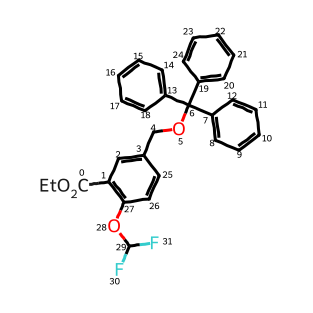 CCOC(=O)c1cc(COC(c2ccccc2)(c2ccccc2)c2ccccc2)ccc1OC(F)F